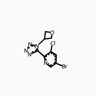 Clc1cc(Br)cnc1-c1nnnn1C1COC1